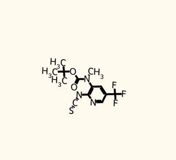 CN(C(=O)OC(C)(C)C)c1cc(C(F)(F)F)cnc1N=C=S